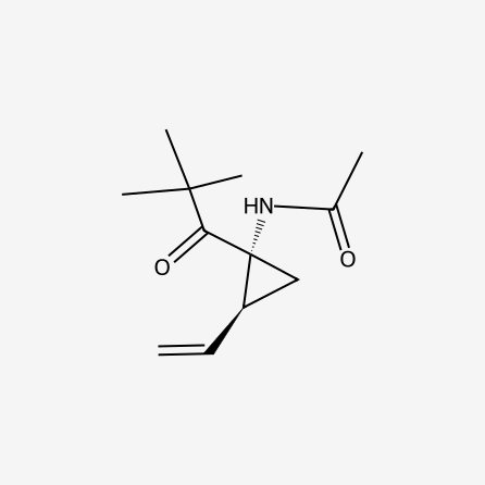 C=C[C@@H]1C[C@]1(NC(C)=O)C(=O)C(C)(C)C